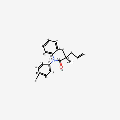 C=CCC1(CC)Cc2ccccc2N(c2ccc(C)cc2)C1=O